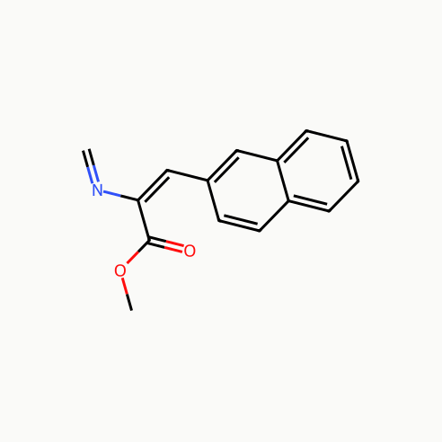 C=N/C(=C/c1ccc2ccccc2c1)C(=O)OC